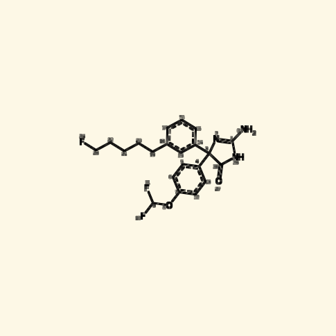 NC1=NC(c2ccc(OC(F)F)cc2)(c2cccc(CCCCCF)c2)C(=O)N1